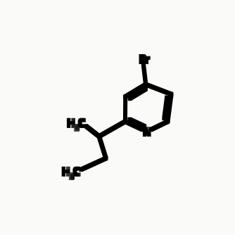 CCC(C)c1cc(Br)ccn1